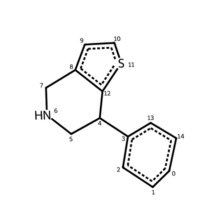 c1ccc(C2CNCc3ccsc32)cc1